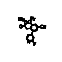 CC(C)Oc1cc(C#N)cc(-c2ccnc(F)c2)c1CC(=O)OC(C)(C)C